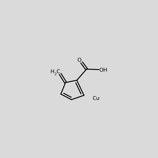 C=C1C=CC=C1C(=O)O.[Cu]